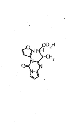 CC(NC(=O)O)c1nc2cccn2c(=O)n1-c1ccon1